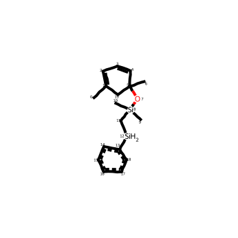 CC1=CC=CC(C)(O[Si](C)(C)C[SiH2]c2ccccc2)C1